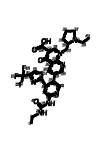 CCNC(=O)Nc1cc(-c2nc(C(F)(F)F)cs2)c(-c2cnc3c(c2)c(=O)c(C(=O)O)cn3CC2CCCN2CC)cn1